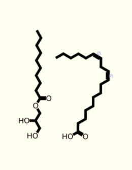 CCCCC/C=C\C/C=C\CCCCCCCC(=O)O.CCCCCCCCCC(=O)OCC(O)CO